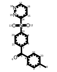 Cc1ccc(C(=O)c2ccc(S(=O)(=O)c3cccnn3)cc2)cc1